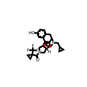 O=C(N1C[C@H]2CC34CCC1C2C31CCN(CC2CC2)C4Cc2ccc(O)cc21)C1(C(F)(F)F)CC1